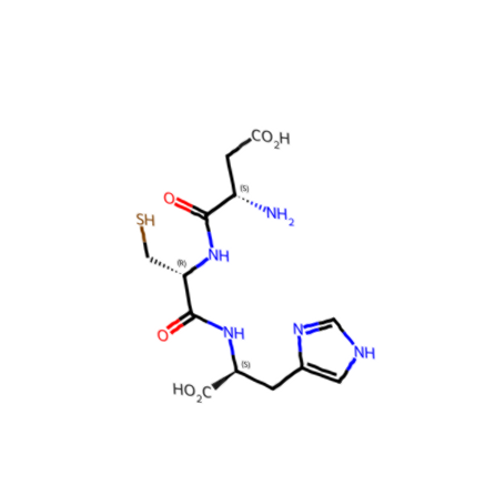 N[C@@H](CC(=O)O)C(=O)N[C@@H](CS)C(=O)N[C@@H](Cc1c[nH]cn1)C(=O)O